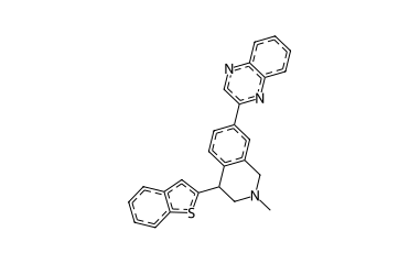 CN1Cc2cc(-c3cnc4ccccc4n3)ccc2C(c2cc3ccccc3s2)C1